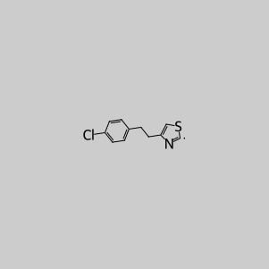 Clc1ccc(CCc2cs[c]n2)cc1